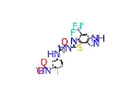 COC(=O)Nc1cc(NC(C)(C)C(=O)Nc2nc3c(C(F)(F)F)cc4[nH]ncc4c3s2)ccc1C